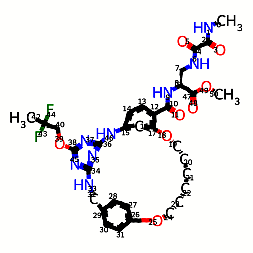 CNC(=O)C(=O)NC[C@H](NC(=O)c1ccc2cc1OCCCCCCOc1ccc(cc1)CNc1nc(nc(OCC(C)(F)F)n1)N2)C(=O)OC